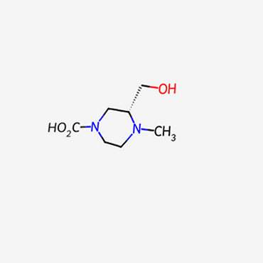 CN1CCN(C(=O)O)C[C@@H]1CO